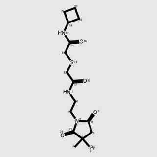 CC(C)C1(C)CC(=O)N(CCNC(=O)CSCC(=O)NC2CCC2)C1=O